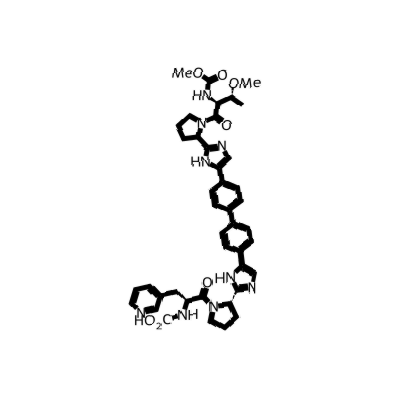 COC(=O)N[C@H](C(=O)N1CCCC1c1ncc(-c2ccc(-c3ccc(-c4cnc([C@@H]5CCCN5C(=O)[C@H](Cc5cccnc5)NC(=O)O)[nH]4)cc3)cc2)[nH]1)[C@@H](C)OC